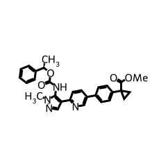 COC(=O)C1(c2ccc(-c3ccc(-c4cnn(C)c4NC(=O)O[C@H](C)c4ccccc4)nc3)cc2)CC1